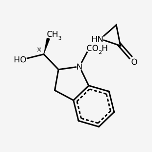 C[C@H](O)C1Cc2ccccc2N1C(=O)O.O=C1CN1